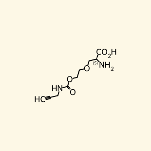 C#CCNC(=O)OCCOC[C@H](N)C(=O)O